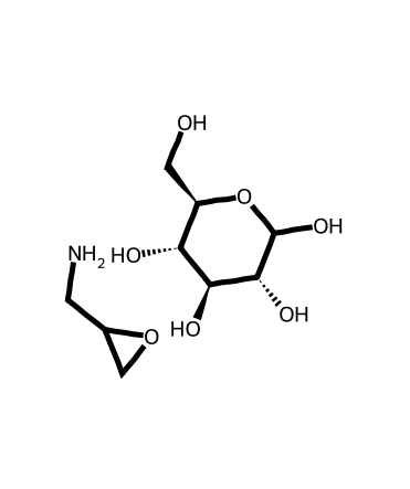 NCC1CO1.OC[C@H]1OC(O)[C@H](O)[C@@H](O)[C@@H]1O